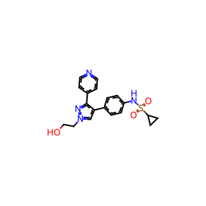 O=S(=O)(Nc1ccc(-c2cn(CCO)nc2-c2ccncc2)cc1)C1CC1